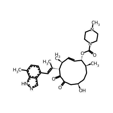 C/C(=C\c1ccc(C)c2[nH]ncc12)[C@H]1C(=O)C(=O)C[C@H](O)CC[C@H](C)[C@@H](OC(=O)N2CCN(C)CC2)/C=C/[C@@H]1C